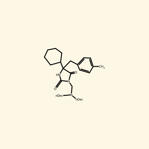 CCCCCCCCCCN(CCCCCCCCCC)CN1C(=O)NC(Cc2ccc(C)cc2)(C2CCCCC2)C1=O